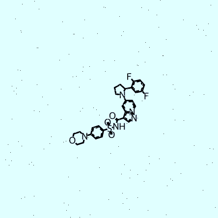 O=C(NS(=O)(=O)c1ccc(N2CCOCC2)cc1)c1cnn2ccc(N3CCCC3c3cc(F)ccc3F)cc12